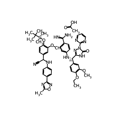 CC(=O)O.CCOc1ccc([C@H](Nc2ccc(C(=N)N)cc2)c2nn(-c3ncccn3)c(=O)[nH]2)cc1OC.COc1cc(C(C#N)Nc2ccc(-c3noc(C)n3)cc2)ccc1O[Si](C)(C)C(C)(C)C